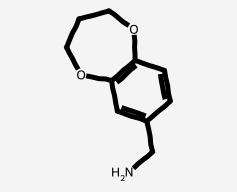 NCc1ccc2c(c1)OCCCO2